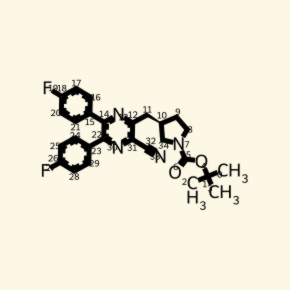 CC(C)(C)OC(=O)N1CC[C@H](Cc2nc(-c3ccc(F)cc3)c(-c3ccc(F)cc3)nc2C#N)C1